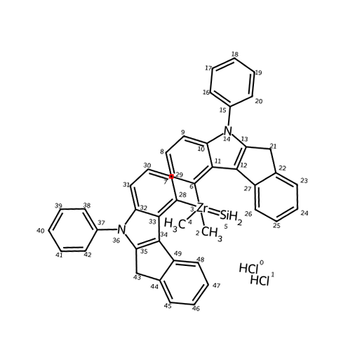 Cl.Cl.[CH3][Zr]([CH3])(=[SiH2])([c]1cccc2c1c1c(n2-c2ccccc2)Cc2ccccc2-1)[c]1cccc2c1c1c(n2-c2ccccc2)Cc2ccccc2-1